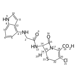 O=C(CNc1cccc2[nH]ccc12)NC1C(=O)N2C(C(=O)O)=C(Cl)CS[C@@H]12